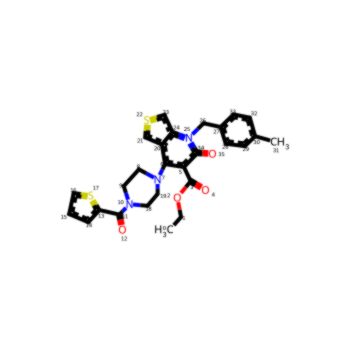 CCOC(=O)c1c(N2CCN(C(=O)c3cccs3)CC2)c2cscc2n(Cc2ccc(C)cc2)c1=O